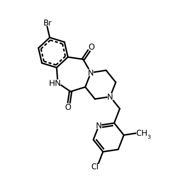 CC1CC(Cl)=CN=C1CN1CCN2C(=O)c3cc(Br)ccc3NC(=O)C2C1